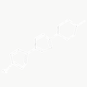 CC1CCC(c2ccc(-c3ccc(C#N)cc3)cc2)CC1